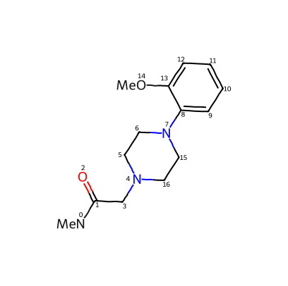 CNC(=O)CN1CCN(c2ccccc2OC)CC1